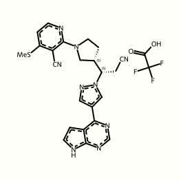 CSc1ccnc(N2CC[C@H]([C@H](CC#N)n3cc(-c4ncnc5[nH]ccc45)cn3)C2)c1C#N.O=C(O)C(F)(F)F